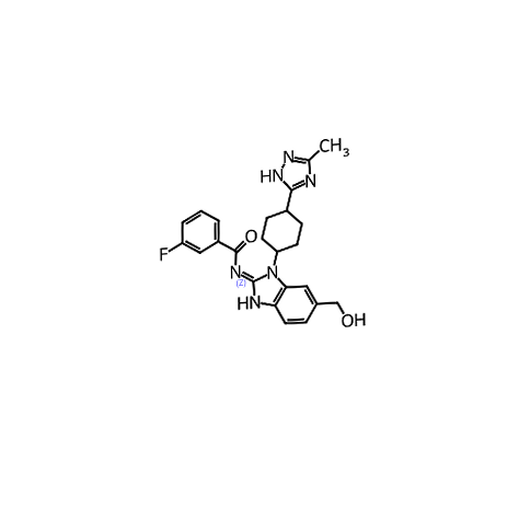 Cc1n[nH]c(C2CCC(n3/c(=N\C(=O)c4cccc(F)c4)[nH]c4ccc(CO)cc43)CC2)n1